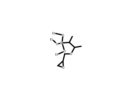 CCO[Si](OCC)(OCC)C(C)C(C)OCC1CO1